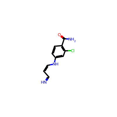 N=C/C=C\Nc1ccc(C(N)=O)c(Cl)c1